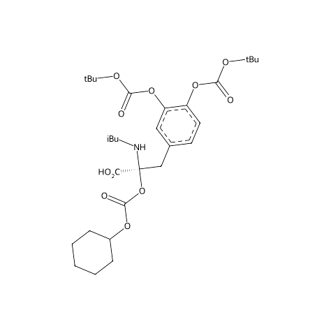 CCC(C)N[C@@](Cc1ccc(OC(=O)OC(C)(C)C)c(OC(=O)OC(C)(C)C)c1)(OC(=O)OC1CCCCC1)C(=O)O